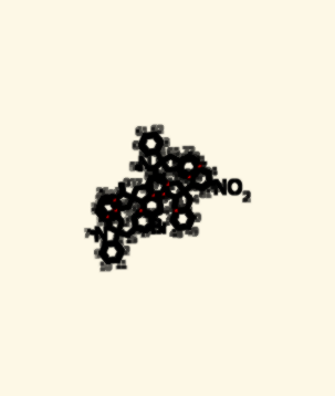 C=C(/C=C/C=C1/N(C)c2ccccc2C1(Cc1ccccc1)Cc1ccccc1)C(Cc1ccccc1)(Cc1ccc(CC(Cc2ccccc2)(C(=C)/C=C/C=C2/N(C)c3ccccc3C2(Cc2ccccc2)Cc2ccccc2)c2cc([N+](=O)[O-])ccc2C)cc1)c1cc(Br)ccc1C